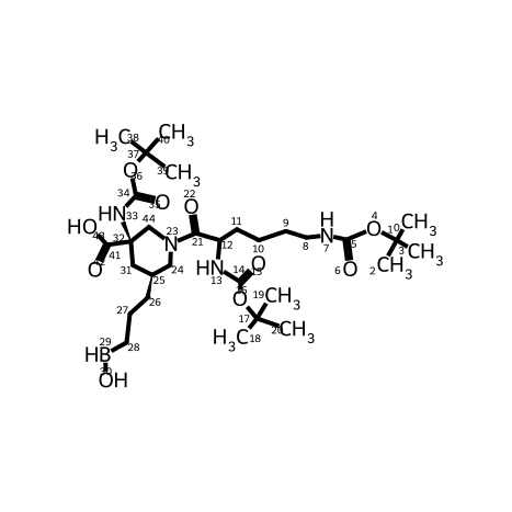 CC(C)(C)OC(=O)NCCCCC(NC(=O)OC(C)(C)C)C(=O)N1C[C@@H](CCCBO)C[C@](NC(=O)OC(C)(C)C)(C(=O)O)C1